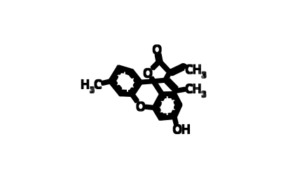 C/C=C1/C(=O)OC2(/C1=C/C)c1ccc(C)cc1Oc1cc(O)ccc12